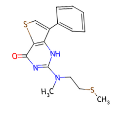 CSCCN(C)c1nc(=O)c2scc(-c3ccccc3)c2[nH]1